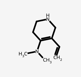 C=CC1=C(N(C)C)CCNC1